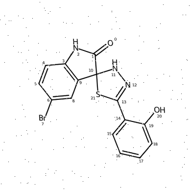 O=C1Nc2ccc(Br)cc2C12NN=C(c1ccccc1O)S2